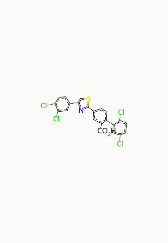 O=C(O)c1cc(-c2nc(-c3ccc(Cl)c(Cl)c3)cs2)ccc1-c1cc(Cl)ccc1Cl